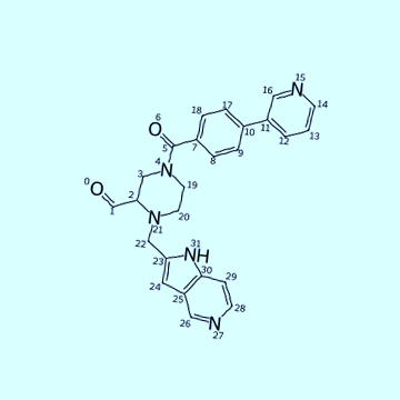 O=CC1CN(C(=O)c2ccc(-c3cccnc3)cc2)CCN1Cc1cc2cnccc2[nH]1